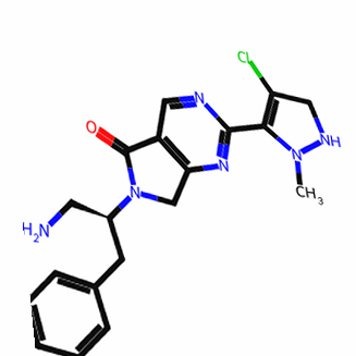 CN1NCC(Cl)=C1c1ncc2c(n1)CN([C@H](CN)Cc1ccccc1)C2=O